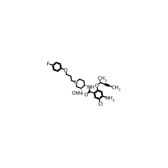 CC#C[C@H](C)Oc1cc(N)c(Cl)cc1C(=O)N[C@H]1CCN(CCCOc2ccc(F)cc2)C[C@H]1OC